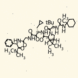 CN(C)C(=O)C(NC(=O)CNC(=O)C(=O)[C@H](CC1CC1)NC(=O)[C@@H]1[C@@H]2[C@H](CN1C(=O)[C@@H](NC(=O)NC1(C)CCCCC1)C(C)(C)C)C2(C)C)c1ccccc1